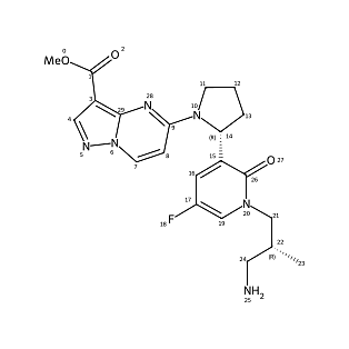 COC(=O)c1cnn2ccc(N3CCC[C@@H]3c3cc(F)cn(C[C@H](C)CN)c3=O)nc12